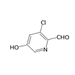 O=Cc1ncc(O)cc1Cl